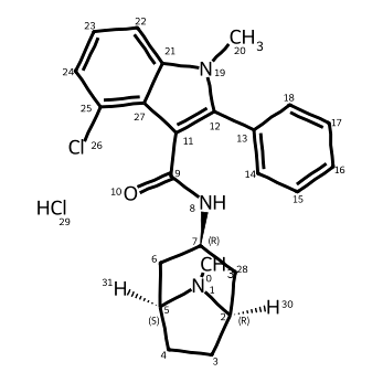 CN1[C@@H]2CC[C@H]1C[C@@H](NC(=O)c1c(-c3ccccc3)n(C)c3cccc(Cl)c13)C2.Cl